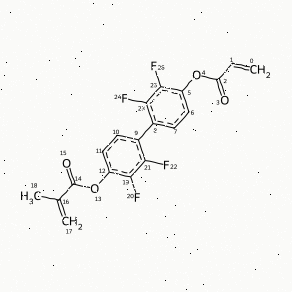 C=CC(=O)Oc1ccc(-c2ccc(OC(=O)C(=C)C)c(F)c2F)c(F)c1F